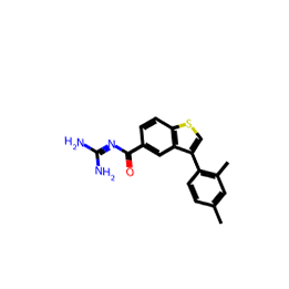 Cc1ccc(-c2csc3ccc(C(=O)N=C(N)N)cc23)c(C)c1